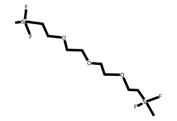 C[Si](F)(F)CCOCCOCCOCC[Si](C)(F)F